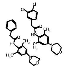 Cc1cc(N2CCOCC2)cc(C)c1NC(=O)Cc1ccc(Cl)c(Cl)c1.Cc1cc(N2CCOCC2)cc(C)c1NC(=O)Cc1ccccc1